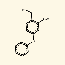 COc1cc(Oc2ccccc2)ccc1CC(C)C